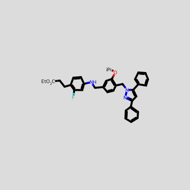 CCOC(=O)CCc1ccc(NCc2ccc(Cn3nc(-c4ccccc4)cc3-c3ccccc3)c(OC(C)C)c2)cc1F